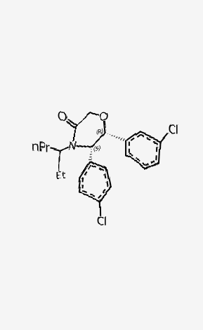 CCCC(CC)N1C(=O)CO[C@H](c2cccc(Cl)c2)[C@@H]1c1ccc(Cl)cc1